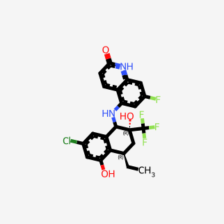 CC[C@@H]1C[C@](O)(C(F)(F)F)C(Nc2cc(F)cc3[nH]c(=O)ccc23)c2cc(Cl)cc(O)c21